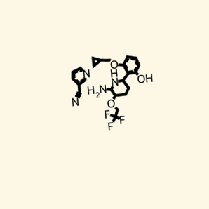 N#Cc1cccnc1.NC1NC(c2c(O)cccc2OCC2CC2)CCC1OCC(F)(F)F